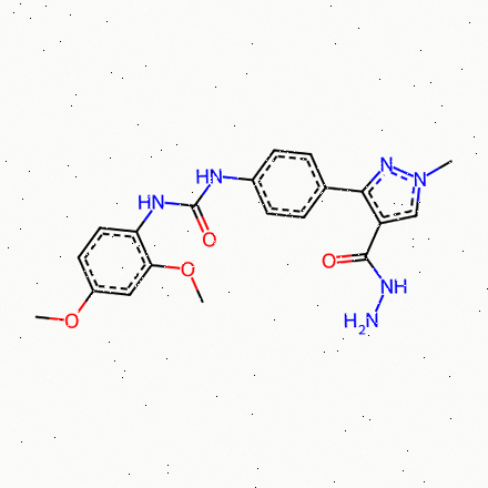 COc1ccc(NC(=O)Nc2ccc(-c3nn(C)cc3C(=O)NN)cc2)c(OC)c1